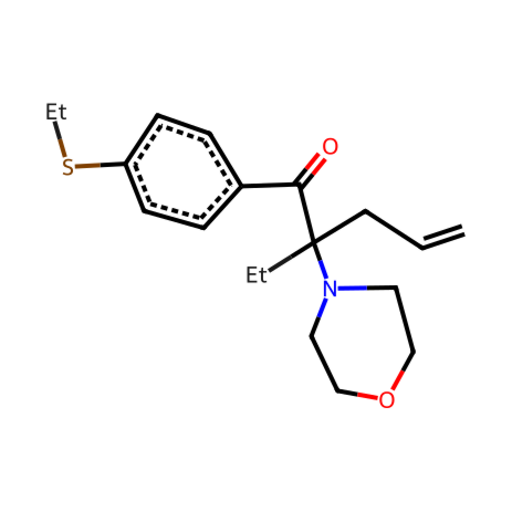 C=CCC(CC)(C(=O)c1ccc(SCC)cc1)N1CCOCC1